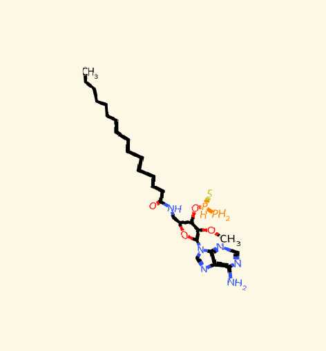 CCCCCCCCCCCCCCCC(=O)NCC1OC(n2cnc3c(N)ncnc32)C(OC)C1O[PH](P)=S